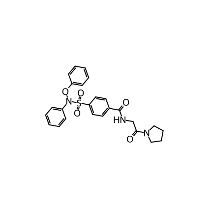 O=C(NCC(=O)N1CCCC1)c1ccc(S(=O)(=O)N(Oc2ccccc2)c2ccccc2)cc1